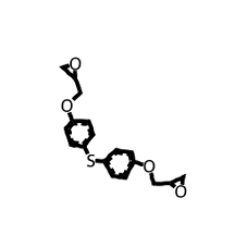 c1cc(Sc2ccc(OCC3CO3)cc2)ccc1OCC1CO1